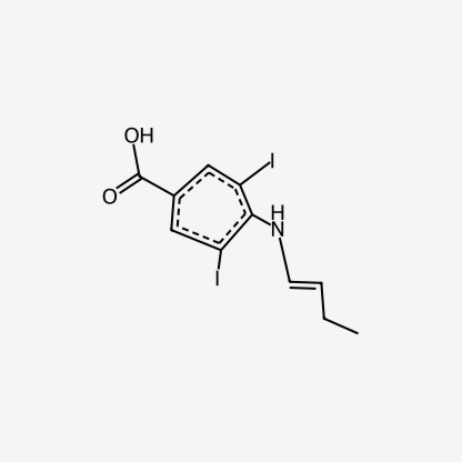 CCC=CNc1c(I)cc(C(=O)O)cc1I